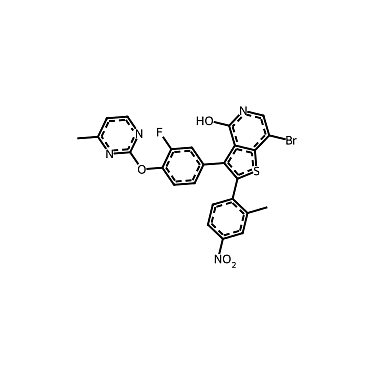 Cc1ccnc(Oc2ccc(-c3c(-c4ccc([N+](=O)[O-])cc4C)sc4c(Br)cnc(O)c34)cc2F)n1